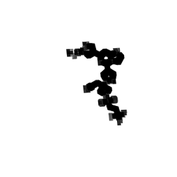 Cn1cc(-c2cc3nccn3c(-c3cnn(C4(CC#N)CN(S(=O)(=O)CCC(F)(F)F)C4)c3)n2)cn1